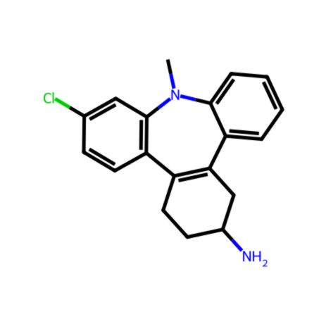 CN1c2cc(Cl)ccc2C2=C(CC(N)CC2)c2ccccc21